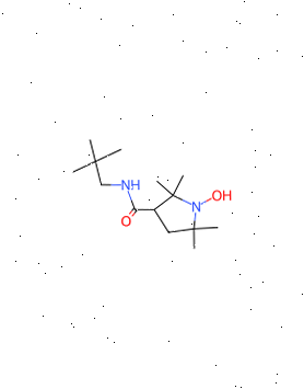 CC(C)(C)CNC(=O)C1CC(C)(C)N(O)C1(C)C